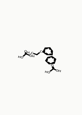 CCC.O=C(O)O.O=C(O)O.c1ccccc1.c1ccccc1